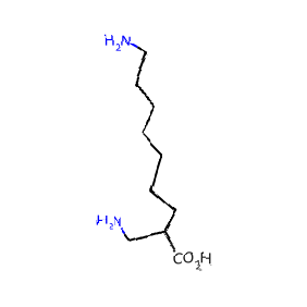 NCCCCCCCC(CN)C(=O)O